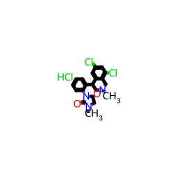 CN1Cc2c(Cl)cc(Cl)cc2C(c2ccccc2N2C(=O)CN(C)C2=O)C1.Cl